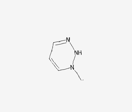 [CH2]N1C=CC=NN1